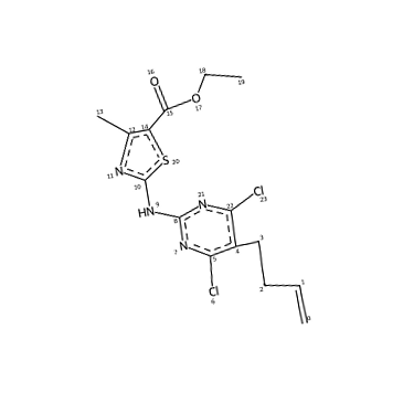 C=CCCc1c(Cl)nc(Nc2nc(C)c(C(=O)OCC)s2)nc1Cl